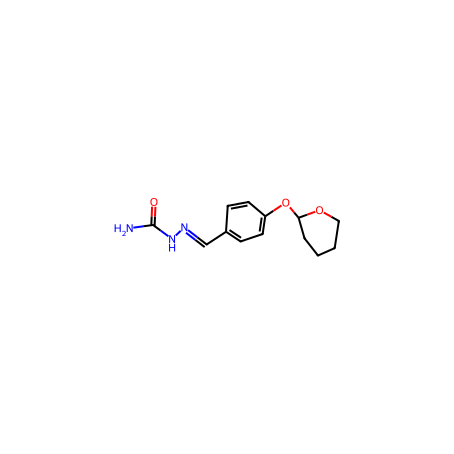 NC(=O)NN=Cc1ccc(OC2CCCCO2)cc1